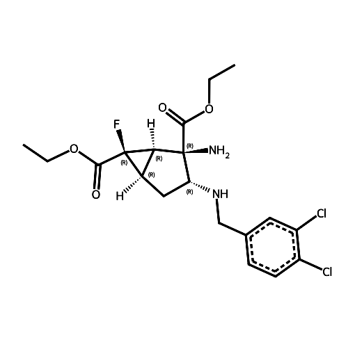 CCOC(=O)[C@@]1(N)[C@H]2[C@@H](C[C@H]1NCc1ccc(Cl)c(Cl)c1)[C@]2(F)C(=O)OCC